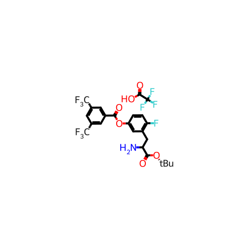 CC(C)(C)OC(=O)C(N)Cc1cc(OC(=O)c2cc(C(F)(F)F)cc(C(F)(F)F)c2)ccc1F.O=C(O)C(F)(F)F